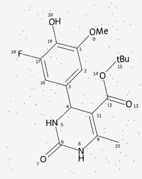 COc1cc(C2NC(=O)NC(C)=C2C(=O)OC(C)(C)C)cc(F)c1O